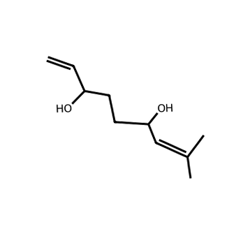 C=CC(O)CCC(O)C=C(C)C